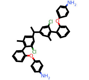 Cc1cc(C(C)c2cc(C)c(-c3ccccc3Oc3ccc(N)cc3)c(Cl)c2)cc(Cl)c1-c1ccccc1Oc1ccc(N)cc1